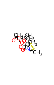 CC(=O)OCOC(=O)[C@]1([C@@H](C)O[Si](C)(C)C)C(=O)N2C=C(C)SS[C@@H]21